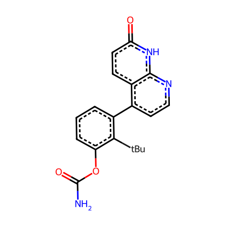 CC(C)(C)c1c(OC(N)=O)cccc1-c1ccnc2[nH]c(=O)ccc12